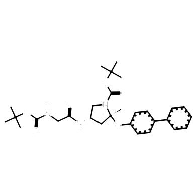 CC(C)(C)OC(=O)NCC(=O)N[C@@H]1CN(C(=O)OC(C)(C)C)[C@](C)(Oc2ccc(-c3ccccc3)cc2)C1